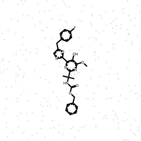 COc1nc(C(C)(C)NC(=O)OCc2ccccc2)nc(-c2ncc(Cc3ccc(F)cc3)s2)c1O